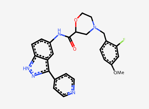 COc1ccc(CN2CCOC(C(=O)Nc3ccc4[nH]nc(-c5ccncc5)c4c3)C2)c(F)c1